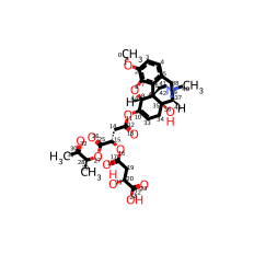 COc1ccc2c3c1O[C@H]1C(OC(=O)C[C@H](OC(=O)C[C@H](O)C(=O)O)C(=O)O[C@@H](C)C(C)=O)=CC[C@@]4(O)[C@@H](C2)N(C)CC[C@]314